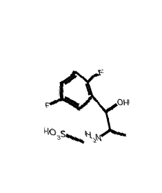 CC(N)C(O)c1cc(F)ccc1F.CS(=O)(=O)O